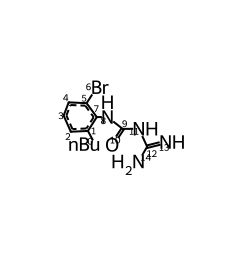 CCCCc1cccc(Br)c1NC(=O)NC(=N)N